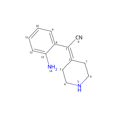 N#CC(=C1CCNCC1)c1ccccc1N